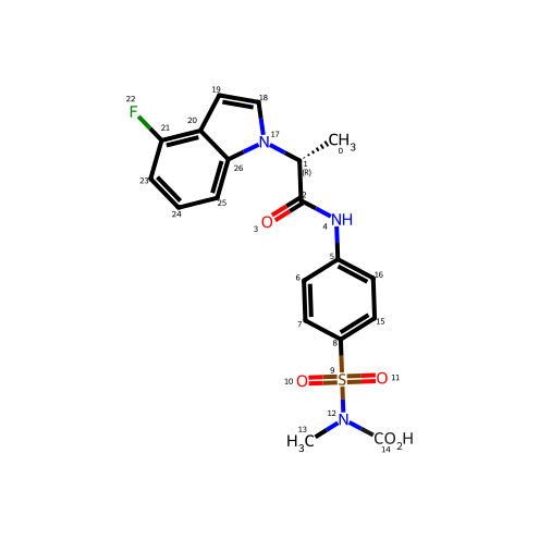 C[C@H](C(=O)Nc1ccc(S(=O)(=O)N(C)C(=O)O)cc1)n1ccc2c(F)cccc21